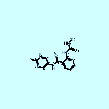 CCNC(=O)Nc1ncccc1C(=O)Nc1cnc(C)nc1